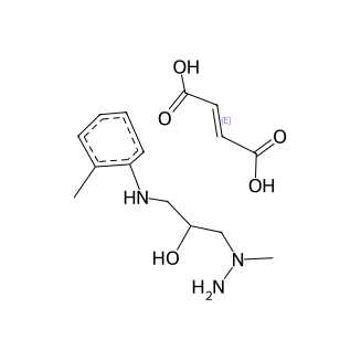 Cc1ccccc1NCC(O)CN(C)N.O=C(O)/C=C/C(=O)O